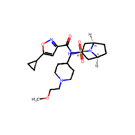 COCCN1CCC(CS(=O)(=O)N2[C@@H]3CC[C@H]2C[C@@H](NC(=O)c2cc(C4CC4)on2)C3)CC1